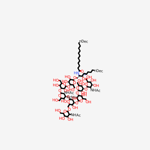 CCCCCCCCCCCCC/C=C/[C@@H](O)[C@H](CO[C@@H]1OC(CO)[C@@H](O[C@@H]2OC(CO)[C@H](O)[C@H](O[C@@H]3OC(CO)[C@@H](O)[C@H](O[C@@H]4OC(CO[C@@H]5OC(CO)[C@@H](O)[C@H](O)C5NC(C)=O)[C@H](O)[C@H](O[C@@H]5OC(CO)[C@@H](O)[C@H](O[C@@H]6OC(CO)[C@H](O)[C@H](O[C@H]7OC(CO)[C@H](O)[C@H](O)C7NC(C)=O)C6O)C5NC(C)=O)C4O)C3NC(C)=O)C2O)[C@H](O)C1O)NC(=O)CCCCCCCCCCCCCCCCCCCCC